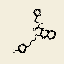 Cc1ccc(CCCSc2nc3ccccc3cc2C(=O)NCc2cccs2)cc1